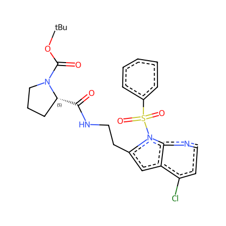 CC(C)(C)OC(=O)N1CCC[C@H]1C(=O)NCCc1cc2c(Cl)ccnc2n1S(=O)(=O)c1ccccc1